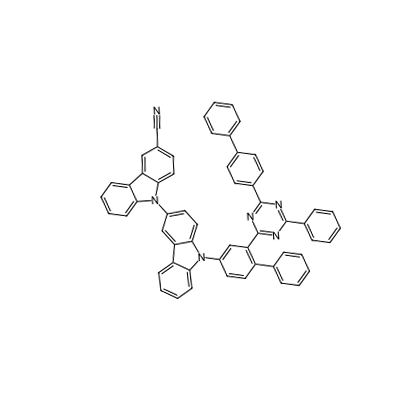 N#Cc1ccc2c(c1)c1ccccc1n2-c1ccc2c(c1)c1ccccc1n2-c1ccc(-c2ccccc2)c(-c2nc(-c3ccccc3)nc(-c3ccc(-c4ccccc4)cc3)n2)c1